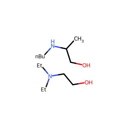 CCCCNC(C)CO.CCN(CC)CCO